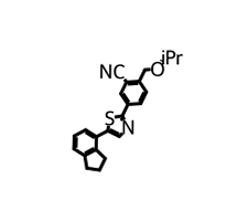 CC(C)OCc1ccc(-c2ncc(-c3cccc4c3CCC4)s2)cc1C#N